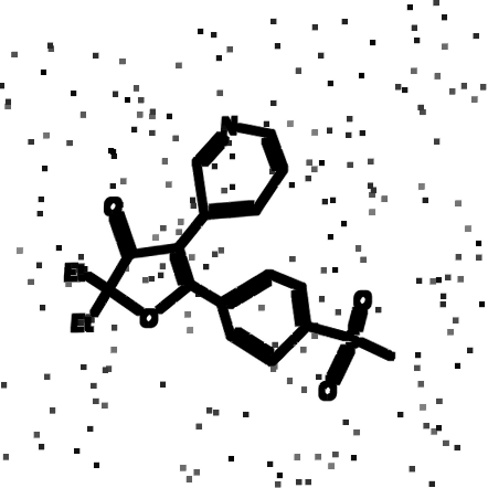 CCC1(CC)OC(c2ccc(S(C)(=O)=O)cc2)=C(c2cccnc2)C1=O